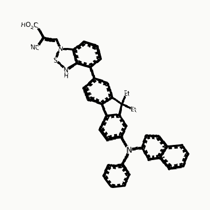 CCC1(CC)c2cc(-c3cccc4c3NSN4/C=C(\C#N)C(=O)O)ccc2-c2ccc(N(c3ccccc3)c3ccc4ccccc4c3)cc21